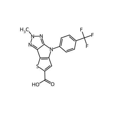 Cn1nc2c3sc(C(=O)O)cc3n(-c3ccc(C(F)(F)F)cc3)c2n1